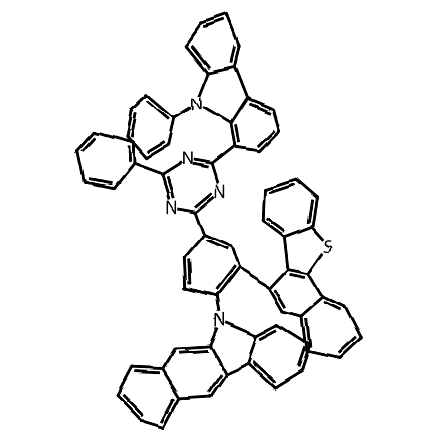 c1ccc(-c2nc(-c3ccc(-n4c5ccccc5c5cc6ccccc6cc54)c(-c4cc5ccccc5c5sc6ccccc6c45)c3)nc(-c3cccc4c5ccccc5n(-c5ccccc5)c34)n2)cc1